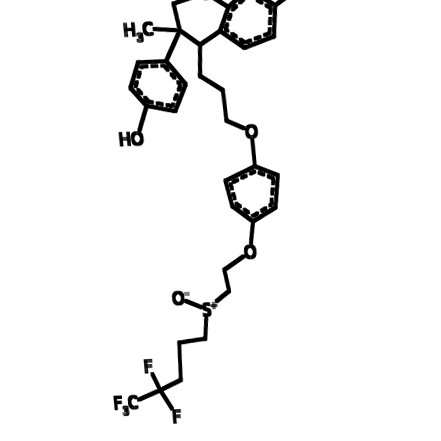 CC1(c2ccc(O)cc2)CSc2cc(O)ccc2C1CCCOc1ccc(OCC[S+]([O-])CCCC(F)(F)C(F)(F)F)cc1